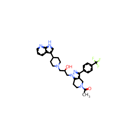 CC(=O)N1CCc2c(c(-c3ccc(C(F)(F)F)cc3)nn2CC(O)CN2CCC(c3c[nH]c4ncccc34)CC2)C1